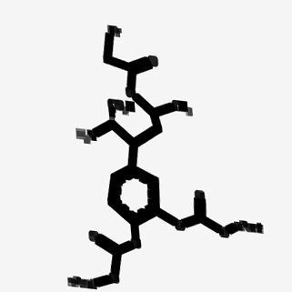 CCCCCOC(=O)Oc1ccc(C(CC(C)OC(=O)CC(C)C)[C@H](N)C(=O)O)cc1OC(=O)OCCCCC